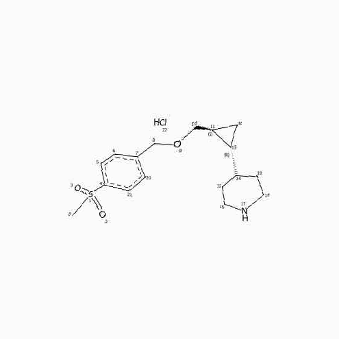 CS(=O)(=O)c1ccc(COC[C@H]2C[C@@H]2C2CCNCC2)cc1.Cl